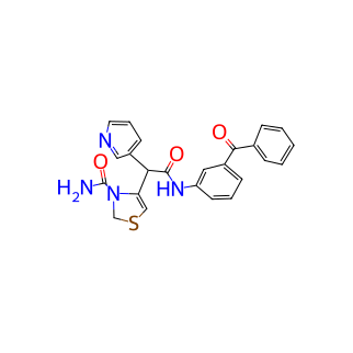 NC(=O)N1CSC=C1C(C(=O)Nc1cccc(C(=O)c2ccccc2)c1)c1cccnc1